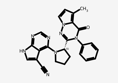 Cc1ccn2nc([C@@H]3CCCN3c3ncnc4[nH]cc(C#N)c34)n(-c3ccccc3)c(=O)c12